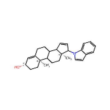 C[C@]12CCC3C(CCC4=C[C@@H](O)CC[C@@]43C)C1C=CC2n1ccc2ccccc21